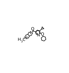 CN1CC2CN(C(=O)c3cnc(OC4CCCCC4)c(C4CC4)c3)CC2C1